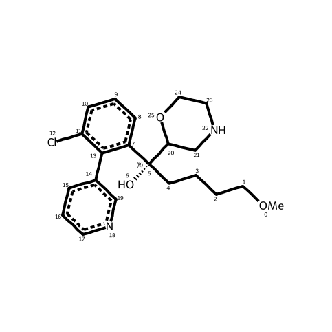 COCCCC[C@@](O)(c1cccc(Cl)c1-c1cccnc1)C1CNCCO1